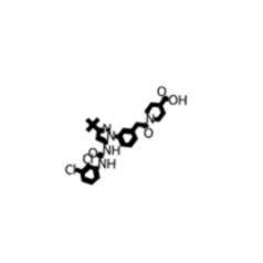 CC(C)(C)c1cc(NC(=O)Nc2cccc(Cl)c2Cl)n(-c2cccc(CC(=O)N3CCC(C(=O)O)CC3)c2)n1